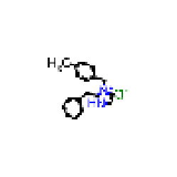 Cc1ccc(C[n+]2cc[nH]c2Cc2ccccc2)cc1.[Cl-]